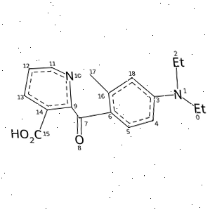 CCN(CC)c1ccc(C(=O)c2ncccc2C(=O)O)c(C)c1